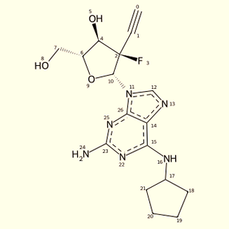 C#C[C@@]1(F)[C@H](O)[C@@H](CO)O[C@H]1n1cnc2c(NC3CCCC3)nc(N)nc21